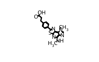 CNc1nc2sc(-c3ccc(CCC(=O)O)cc3)nc2c2c1ncn2C